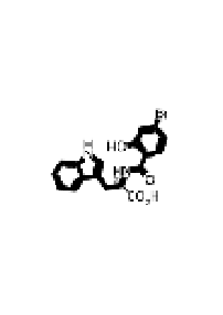 O=C(N[C@@H](Cc1c[nH]c2ccccc12)C(=O)O)c1ccc(Br)cc1O